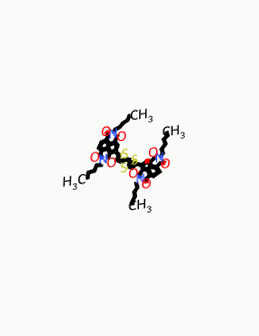 CCCCCCN1C(=O)c2ccc3c4c(c(-c5cc6sc7cc(-c8cc9c%10c(ccc%11c%10c8C(=O)N(CCCCCC)C%11=O)C(=O)N(CCCCCC)C9=O)sc7c6s5)cc(c24)C1=O)C(=O)N(CCCCCC)C3=O